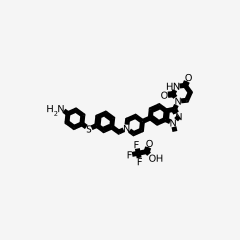 Cn1nc(N2CCC(=O)NC2=O)c2ccc(C3CCN(Cc4cccc(SC5CCC(N)CC5)c4)CC3)cc21.O=C(O)C(F)(F)F